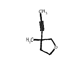 CC#CC1(C)CCOC1